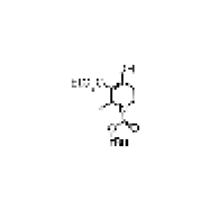 CCOC(=O)C1=C(O)CCN(C(=O)OC(C)(C)C)C1C